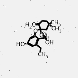 C=C1CCC(C)(C)CC1(C)Oc1cc(O)cc(CC)c1C(=O)O